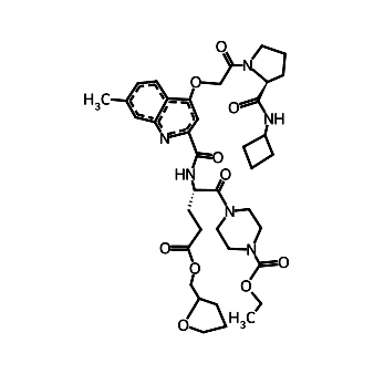 CCOC(=O)N1CCN(C(=O)[C@H](CCC(=O)OCC2CCCO2)NC(=O)c2cc(OCC(=O)N3CCC[C@H]3C(=O)NC3CCC3)c3ccc(C)cc3n2)CC1